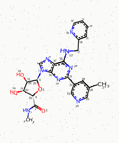 CNC(=O)[C@H]1O[C@H](n2cnc3c(NCc4ccccn4)nc(-c4cncc(C)c4)nc32)[C@H](O)[C@@H]1O